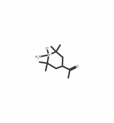 CC(=O)C1CC(C)(C)[N+](N)([O-])C(C)(C)C1